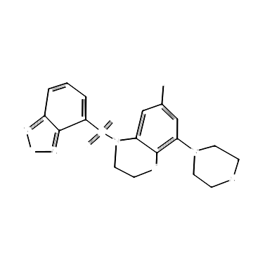 O=S(=O)(c1cccc2nsnc12)N1CCOc2c(N3CCNCC3)cc(Cl)cc21